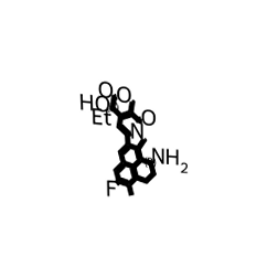 CC[C@]1(O)C(=O)OCc2c1cc1n(c2=O)Cc2c-1cc1cc(F)c(C)c3c1c2[C@H](N)CC3